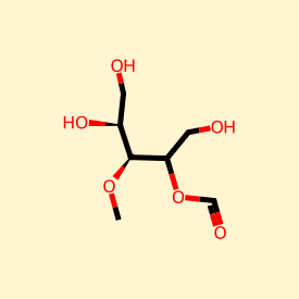 CO[C@H](C(CO)OC=O)[C@@H](O)CO